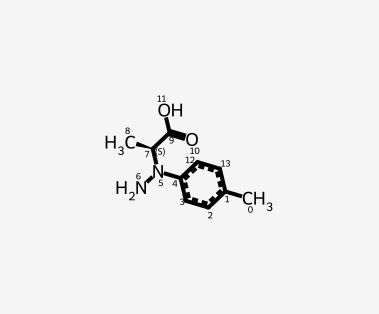 Cc1ccc(N(N)[C@@H](C)C(=O)O)cc1